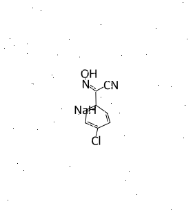 N#CC(=NO)c1ccc(Cl)cc1.[NaH]